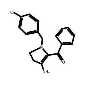 NC1=C(C(=O)c2ccccc2)N(Cc2ccc(Cl)cc2)CC1